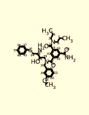 CCCN(CCC)C(=O)c1cc(C(N)=O)cc(C(=O)N(Cc2cccc(OC)c2)C[C@@H](O)[C@@H](N)CSc2ccccc2)c1